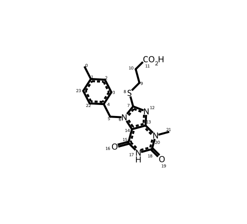 Cc1ccc(Cn2c(SCCC(=O)O)nc3c2c(=O)[nH]c(=O)n3C)cc1